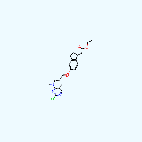 CCOC(=O)C[C@@H]1CCc2cc(OCCCN(C)c3nc(Cl)ncc3C)ccc21